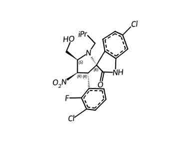 CC(C)CN1[C@H](CO)[C@H]([N+](=O)[O-])[C@@H](c2cccc(Cl)c2F)[C@@]12C(=O)Nc1cc(Cl)ccc12